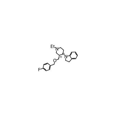 CCN1CC[C@H](N2CCc3ccccc32)[C@@H](COCc2ccc(F)cc2)C1